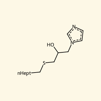 CCCCCCCCSCC(O)Cn1ccnc1